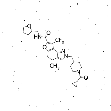 CC1Cc2oc(C(=O)NC[C@@H]3CCCO3)c(C(F)(F)F)c2-c2nn(CC3CCN(C(=O)C4CC4)CC3)cc21